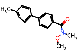 CON(C)C(=O)c1ccc(-c2ccc(C)cc2)cc1